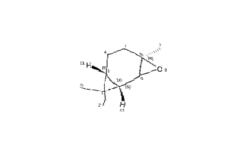 CC1(C)[C@@H]2CC[C@@]3(C)OC3[C@@H]21